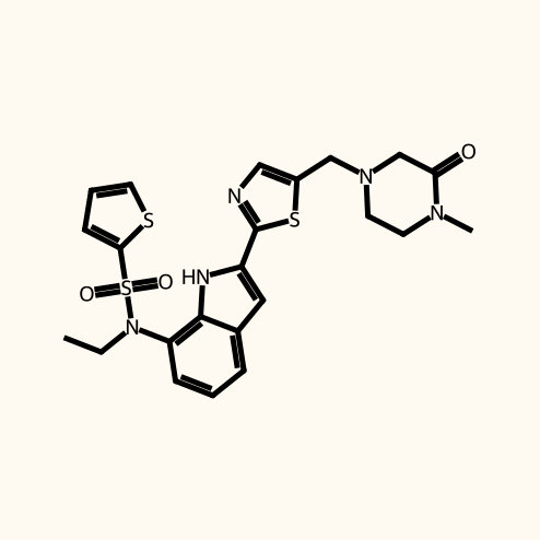 CCN(c1cccc2cc(-c3ncc(CN4CCN(C)C(=O)C4)s3)[nH]c12)S(=O)(=O)c1cccs1